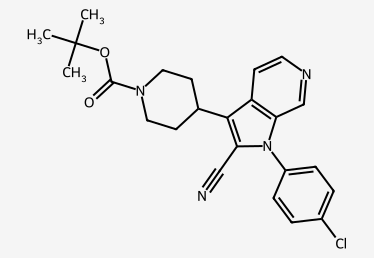 CC(C)(C)OC(=O)N1CCC(c2c(C#N)n(-c3ccc(Cl)cc3)c3cnccc23)CC1